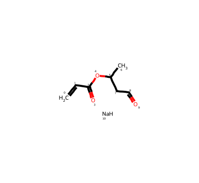 C=CC(=O)OC(C)CC=O.[NaH]